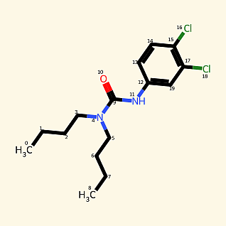 CCCCN(CCCC)C(=O)Nc1ccc(Cl)c(Cl)c1